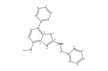 COc1ccc(-c2ccccc2)c2sc(NCc3ccccn3)nc12